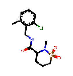 Cc1cccc(Cl)c1CNC(=O)C1CCCS(=O)(=O)N1C